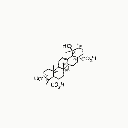 C[C@@H]1CC[C@]2(C(=O)O)CC[C@]3(C)C(=CCC4[C@@]5(C)CC[C@H](O)[C@@](C)(C(=O)O)C5CC[C@]43C)C2[C@]1(C)O